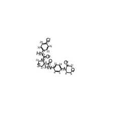 O=C(Nc1ccc(N2CCOCC2=O)cc1)[C@H]1CSCN1C(=O)Nc1ccc(Cl)cc1